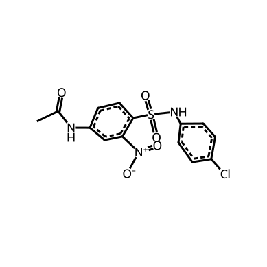 CC(=O)Nc1ccc(S(=O)(=O)Nc2ccc(Cl)cc2)c([N+](=O)[O-])c1